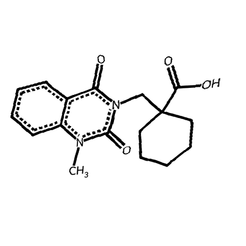 Cn1c(=O)n(CC2(C(=O)O)CCCCC2)c(=O)c2ccccc21